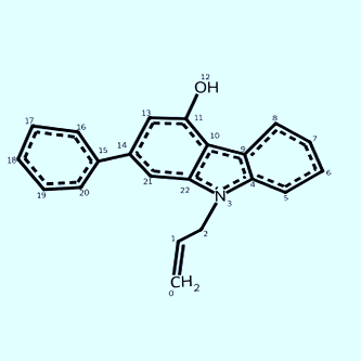 C=CCn1c2ccccc2c2c(O)cc(-c3ccccc3)cc21